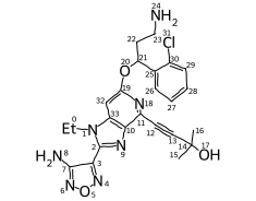 CCn1c(-c2nonc2N)nc2c(C#CC(C)(C)O)nc(OC(CCN)c3ccccc3Cl)cc21